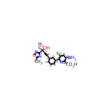 Cc1nc([C@](C)(O)C#Cc2cccc(-c3nc(C(=O)O)c(N)cc3F)c2)no1